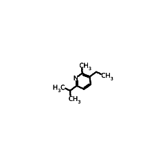 CCc1ccc(C(C)C)nc1C